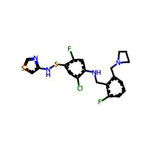 Fc1cc(NCc2c(F)cccc2CN2CCC2)c(Cl)cc1SNc1cscn1